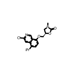 CC(C)c1ccc(OC[C@H]2CN(C)C(=O)O2)c2cnc(Cl)cc12